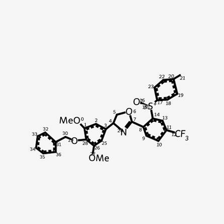 COc1cc(C2COC(c3ccc(C(F)(F)F)cc3[S@@+]([O-])c3ccc(C)cc3)=N2)cc(OC)c1OCc1ccccc1